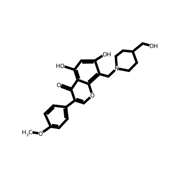 COc1ccc(-c2coc3c(CN4CCC(CO)CC4)c(O)cc(O)c3c2=O)cc1